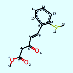 COC(=O)CC(=O)C=Cc1ccccc1SC